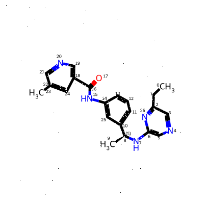 CCc1cncc(N[C@@H](C)c2cccc(NC(=O)c3cncc(C)c3)c2)n1